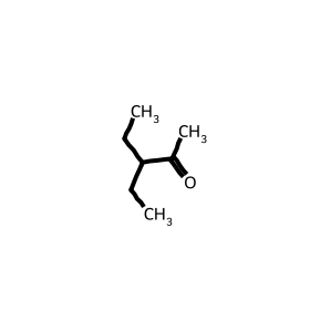 CC[C](CC)C(C)=O